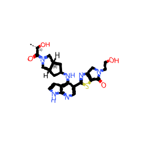 C[C@H](O)C(=O)N1C[C@H]2CC(Nc3c(-c4nc5c(s4)C(=O)N(CCO)C5)cnc4[nH]ccc34)C[C@H]2C1